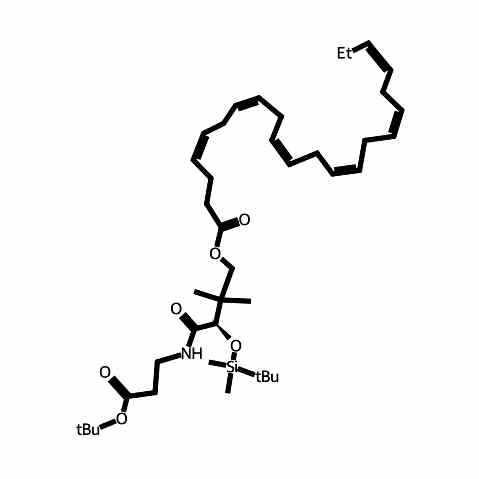 CC/C=C\C/C=C\C/C=C\C/C=C\C/C=C\C/C=C\CCC(=O)OCC(C)(C)[C@@H](O[Si](C)(C)C(C)(C)C)C(=O)NCCC(=O)OC(C)(C)C